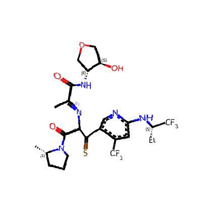 CC[C@H](Nc1cc(C(F)(F)F)c(C(=S)C(/N=C(\C)C(=O)N[C@@H]2COC[C@H]2O)C(=O)N2CCC[C@@H]2C)cn1)C(F)(F)F